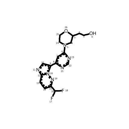 OCCC1CN(c2cc(-c3cnc4ccc(C(F)F)nn34)ncn2)CCO1